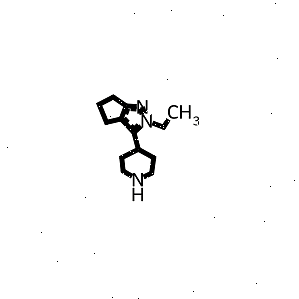 CCn1nc2c(c1C1CCNCC1)CCC2